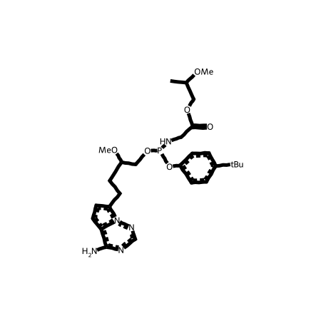 COC(C)COC(=O)CNP(OCC(CCc1ccc2c(N)ncnn12)OC)Oc1ccc(C(C)(C)C)cc1